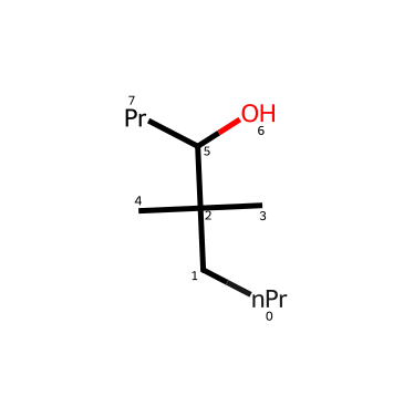 CCCCC(C)(C)[CH](O)[Pr]